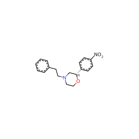 O=[N+]([O-])c1ccc([C@H]2CN(CCc3ccccc3)CCO2)cc1